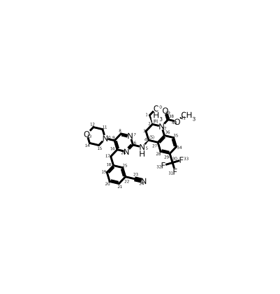 CC[C@@H]1C[C@H](Nc2ncc(N3CCOCC3)c(Cc3cccc(C#N)c3)n2)c2cc(C(F)(F)F)ccc2N1C(=O)OC